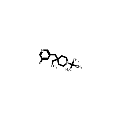 CCC1(Cc2cncc(F)c2)CCN(C(C)(C)C)CC1